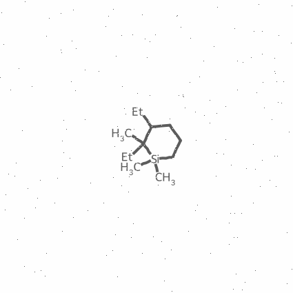 CCC1CCC[Si](C)(C)C1(C)CC